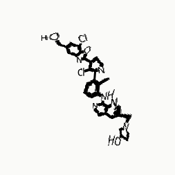 Cc1c(Nc2nccc3cc(CN4CCC(O)C4)cnc23)cccc1-c1nccc(-c2nc3cc(CO)cc(Cl)c3o2)c1Cl